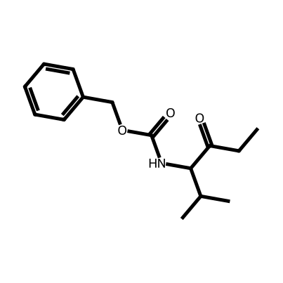 CCC(=O)C(NC(=O)OCc1ccccc1)C(C)C